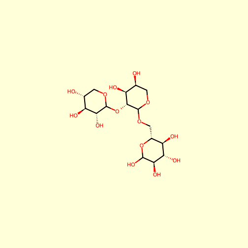 OC1O[C@H](COC2OC[C@H](O)[C@H](O)[C@H]2OC2OC[C@@H](O)[C@H](O)[C@H]2O)[C@@H](O)[C@H](O)[C@H]1O